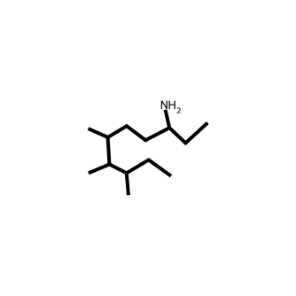 CCC(N)CCC(C)C(C)C(C)CC